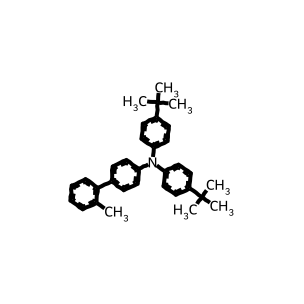 Cc1ccccc1-c1ccc(N(c2ccc(C(C)(C)C)cc2)c2ccc(C(C)(C)C)cc2)cc1